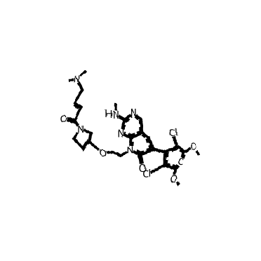 CNc1ncc2cc(-c3c(Cl)c(OC)cc(OC)c3Cl)c(=O)n(CCOC3CCN(C(=O)/C=C/CN(C)C)C3)c2n1